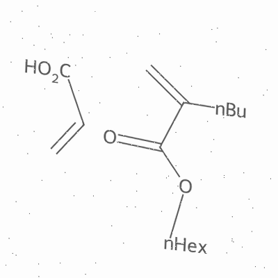 C=C(CCCC)C(=O)OCCCCCC.C=CC(=O)O